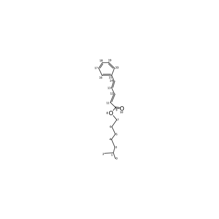 CC(C)CCCCCOC(=O)C=CC=Cc1ccccc1